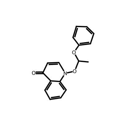 CC(Oc1ccccc1)On1ccc(=O)c2ccccc21